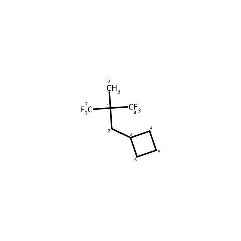 CC(CC1CCC1)(C(F)(F)F)C(F)(F)F